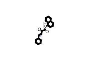 O=C(/C=C/c1ccccc1)C(=O)Nc1cccc2ccccc12